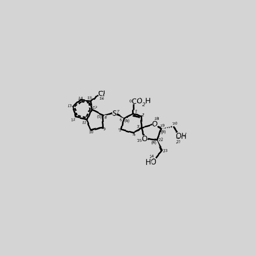 O=C(O)C1=CC2(CC[C@H]1S[C@H]1CCc3cccc(Cl)c31)O[C@H](CO)[C@@H](CO)O2